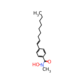 CCCCCCC/C=C/c1ccc(C(=O)N(C)O)cc1